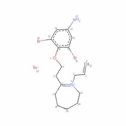 C=CC[N+]1=C(CCOc2c(Br)cc(N)cc2Br)CCCCC1.[Br-]